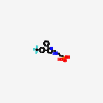 O=P(O)(O)CCCNCc1ccc(-c2ccc(C(F)(F)F)cc2)c(-c2ccccc2)n1